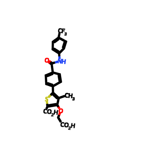 Cc1c(-c2ccc(C(=O)Nc3ccc(C(F)(F)F)cc3)cc2)sc(C(=O)O)c1OCC(=O)O